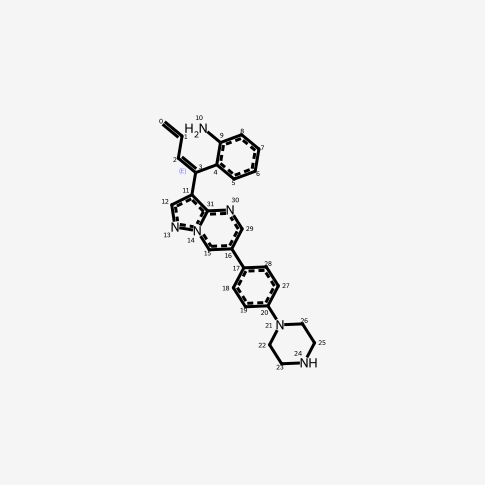 C=C/C=C(\c1ccccc1N)c1cnn2cc(-c3ccc(N4CCNCC4)cc3)cnc12